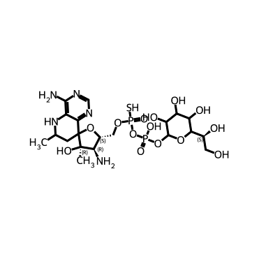 CC1CC2(O[C@H](COP(=O)(S)OP(=O)(O)OC3OC([C@@H](O)CO)C(O)C(O)C3O)[C@@H](N)[C@@]2(C)O)c2ncnc(N)c2N1